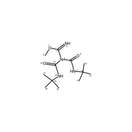 COC(=N)N(C(=O)NC(C)(C)C)C(=O)NC(C)(C)C